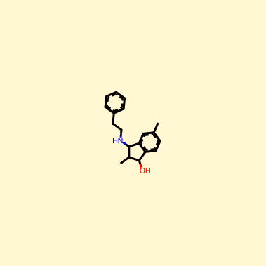 Cc1ccc2c(c1)C(NCCc1ccccc1)C(C)C2O